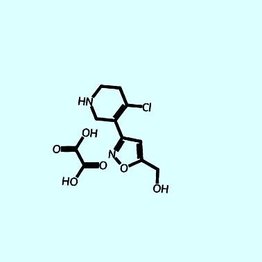 O=C(O)C(=O)O.OCc1cc(C2=C(Cl)CCNC2)no1